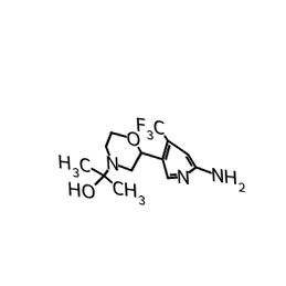 CC(C)(O)N1CCOC(c2cnc(N)cc2C(F)(F)F)C1